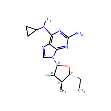 CC[C@H]1O[C@@H](n2cnc3c(N(C)C4CC4)nc(N)nc32)[C@H](F)[C@@H]1C